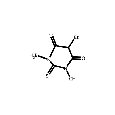 BN1C(=O)C(CC)C(=O)N(C)C1=S